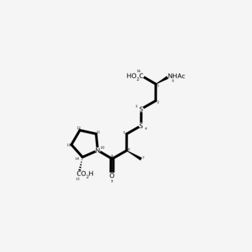 CC(=O)N[C@@H](CSSC[C@@H](C)C(=O)N1CCC[C@H]1C(=O)O)C(=O)O